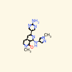 Cn1cc(Nc2nc(-c3cnc(N)nc3)cc3ccn(C)c(=O)c23)cn1